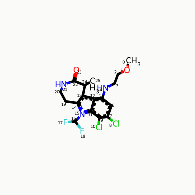 COCCNc1cc(Cl)c(Cl)c2c1c1c(n2C(F)F)CCNC(=O)C1C